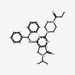 CCC(=O)N1CCN(c2nc(NC(c3ccccc3)c3ccccc3)c3c(n2)C(=O)N(C(C)C)C3)CC1